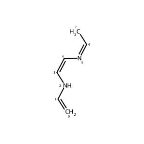 C=CN/C=C\N=C/C